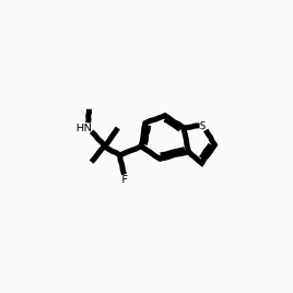 CNC(C)(C)C(F)c1ccc2sccc2c1